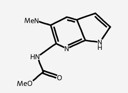 CNc1cc2cc[nH]c2nc1NC(=O)OC